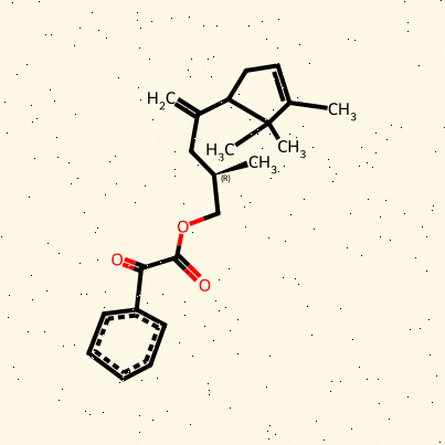 C=C(C[C@@H](C)COC(=O)C(=O)c1ccccc1)C1CC=C(C)C1(C)C